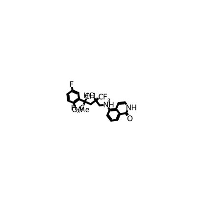 COc1ccc(F)cc1C(C)(C)CC(O)(CNc1cccc2c(=O)[nH]ccc12)C(F)(F)F